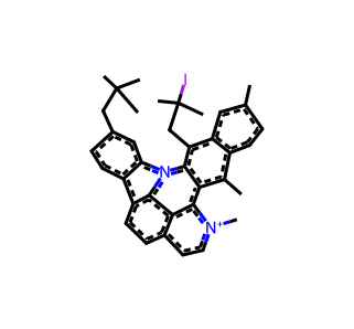 Cc1ccc2c(C)c3c(c(CC(C)(C)I)c2c1)n1c2cc(CC(C)(C)C)ccc2c2ccc4cc[n+](C)c3c4c21